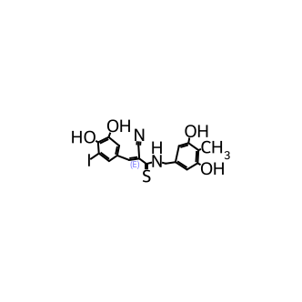 Cc1c(O)cc(CNC(=S)/C(C#N)=C/c2cc(O)c(O)c(I)c2)cc1O